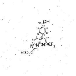 CCOC(=O)c1cn2c(ccc3c(-c4ccc(CO)cc4)cc(C(F)(F)F)nc32)n1